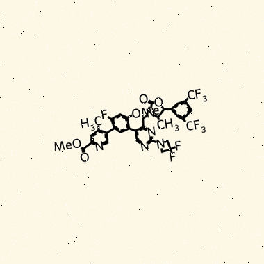 COC(=O)c1cc(C)c(-c2cc(-c3cnc(N4CC(F)(F)C4)nc3CN3C(=O)OC(c4cc(C(F)(F)F)cc(C(F)(F)F)c4)C3C)c(OC)cc2F)cn1